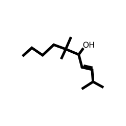 CCCCC(C)(C)C(O)C=CC(C)C